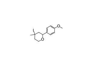 COc1ccc(C2CC(C)(I)CCO2)cc1